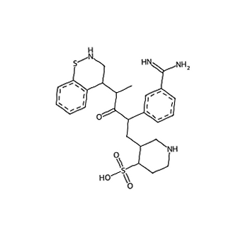 CC(C(=O)C(CC1CNCCC1S(=O)(=O)O)c1cccc(C(=N)N)c1)C1CNSc2ccccc21